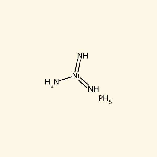 [NH]=[Ni](=[NH])[NH2].[PH5]